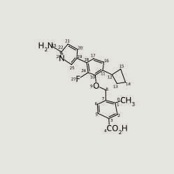 Cc1cc(C(=O)O)ccc1COc1c(C2CCC2)ccc(-c2ccc(N)nc2)c1F